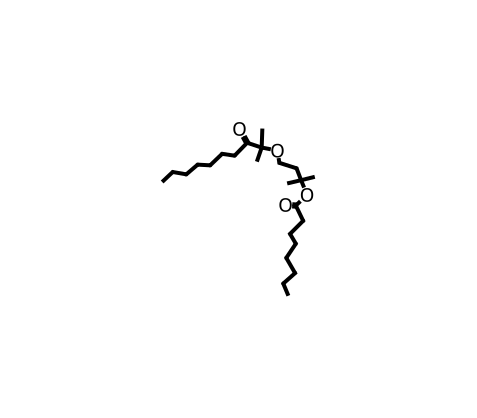 CCCCCCCC(=O)OC(C)(C)CCOC(C)(C)C(=O)CCCCCCC